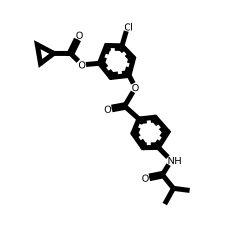 CC(C)C(=O)Nc1ccc(C(=O)Oc2cc(Cl)cc(OC(=O)C3CC3)c2)cc1